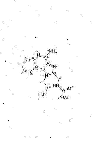 CNC(=O)NCc1nc2c(N)nc3ccccc3c2n1CCN